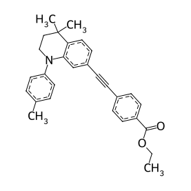 CCOC(=O)c1ccc(C#Cc2ccc3c(c2)N(c2ccc(C)cc2)CCC3(C)C)cc1